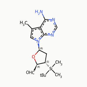 Cc1cn([C@H]2C[C@H]([Si](C)(C)C(C)(C)C)[C@@H](C=O)O2)c2ncnc(N)c12